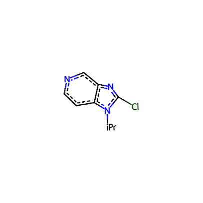 CC(C)n1c(Cl)nc2cnccc21